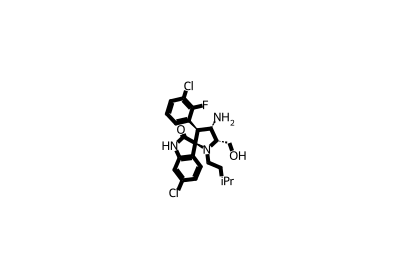 CC(C)CCN1[C@@H](CO)[C@@H](N)[C@H](c2cccc(Cl)c2F)[C@]12C(=O)Nc1cc(Cl)ccc12